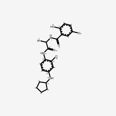 CC(C)C(NC(=O)c1cc(Cl)ccc1O)C(=O)Nc1ccc(NC2CCCC2)cc1Cl